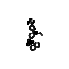 CCCOC1(c2ccc(C(F)(F)F)cc2)CCC(OS(=O)(=O)c2cccc3ccccc23)CC1